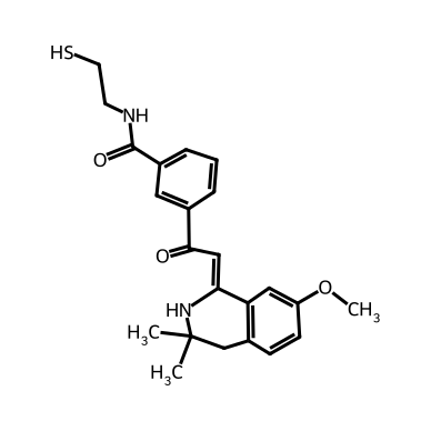 COc1ccc2c(c1)C(=CC(=O)c1cccc(C(=O)NCCS)c1)NC(C)(C)C2